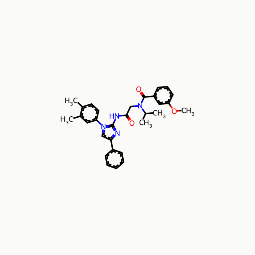 COc1cccc(C(=O)N(CC(=O)Nc2nc(-c3ccccc3)cn2-c2ccc(C)c(C)c2)C(C)C)c1